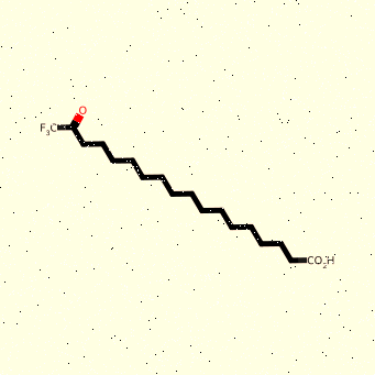 O=C(O)CCCCCCCCCCCCCCCC(=O)C(F)(F)F